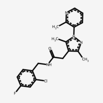 Cc1ncccc1-n1nc(C)c(CC(=O)NCc2ccc(F)cc2Cl)c1C